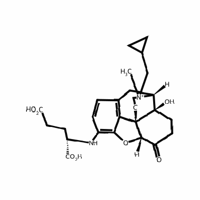 C[N+]1(CC2CC2)CC[C@]23c4c5ccc(N[C@@H](CCC(=O)O)C(=O)O)c4O[C@H]2C(=O)CC[C@@]3(O)[C@H]1C5